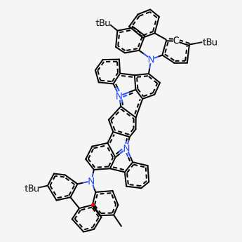 Cc1ccc(N(c2ccc(C(C)(C)C)cc2-c2ccccc2)c2ccc3c4cc5c(cc4n4c6ccccc6c2c34)c2ccc(N(c3ccc(C(C)(C)C)cc3)c3ccc(C(C)(C)C)cc3-c3ccccc3)c3c4ccccc4n5c23)cc1